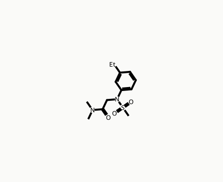 CCc1cccc(N(CC(=O)N(C)C)S(C)(=O)=O)c1